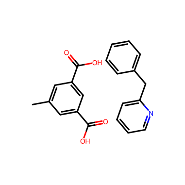 Cc1cc(C(=O)O)cc(C(=O)O)c1.c1ccc(Cc2ccccn2)cc1